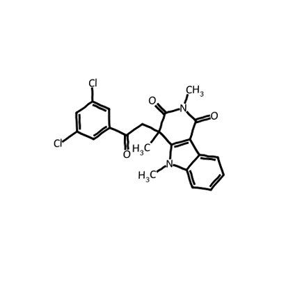 CN1C(=O)c2c(n(C)c3ccccc23)C(C)(CC(=O)c2cc(Cl)cc(Cl)c2)C1=O